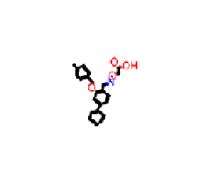 Cc1ccc(COc2cc(-c3ccccc3)ccc2C=NOCC(=O)O)cc1